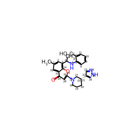 Cc1cc(C(C)Nc2ccccc2C(=O)O)c2oc(N3CCC[C@@H](c4cn[nH]c4)C3)cc(=O)c2c1